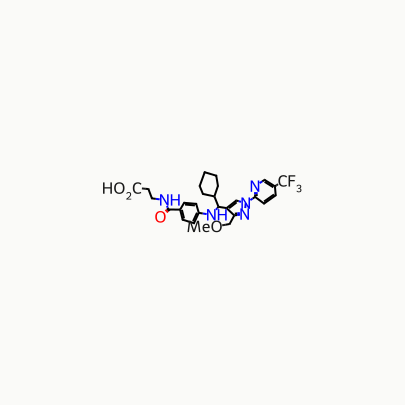 COCc1nn(-c2ccc(C(F)(F)F)cn2)cc1C(Nc1ccc(C(=O)NCCC(=O)O)cc1)C1CCCCC1